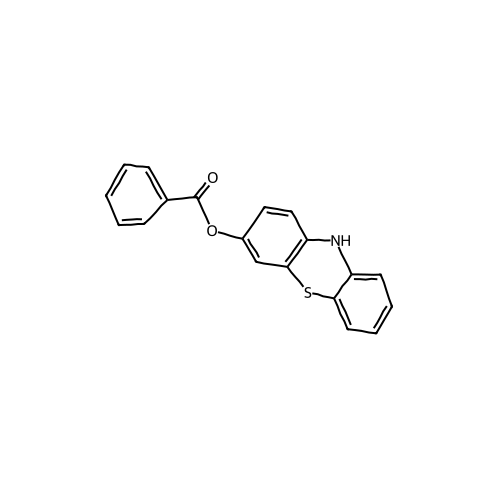 O=C(Oc1ccc2c(c1)Sc1ccccc1N2)c1ccccc1